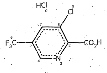 Cl.O=C(O)c1ncc(C(F)(F)F)cc1Cl